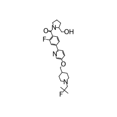 CC(C)(F)CN1CCC(COc2ccc(-c3ccc(C(=O)N4CCCC4CO)c(F)c3)nc2)CC1